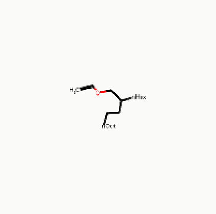 C=COCC(CCCCCC)CCCCCCCCCC